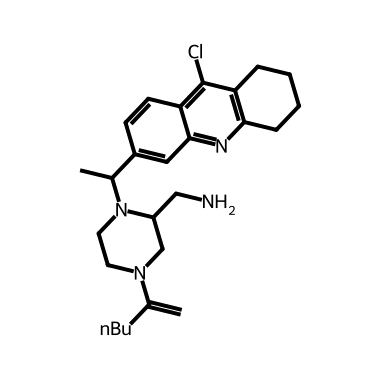 C=C(CCCC)N1CCN(C(C)c2ccc3c(Cl)c4c(nc3c2)CCCC4)C(CN)C1